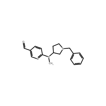 CN(c1ccc(C=O)cn1)C1CCN(Cc2ccccc2)C1